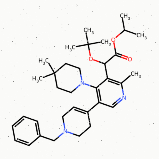 Cc1ncc(C2=CCN(Cc3ccccc3)CC2)c(N2CCC(C)(C)CC2)c1C(OC(C)(C)C)C(=O)OC(C)C